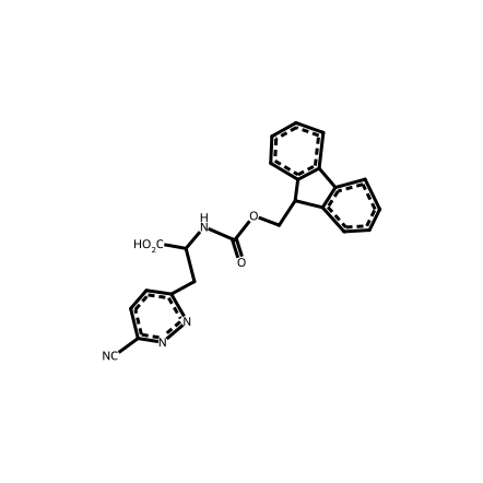 N#Cc1ccc(CC(NC(=O)OCC2c3ccccc3-c3ccccc32)C(=O)O)nn1